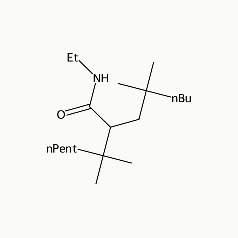 CCCCCC(C)(C)C(CC(C)(C)CCCC)C(=O)NCC